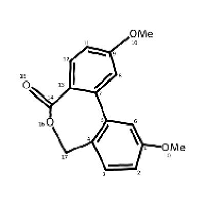 COc1ccc2c(c1)-c1cc(OC)ccc1C(=O)OC2